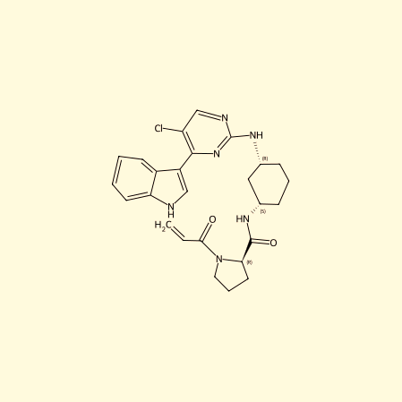 C=CC(=O)N1CCC[C@@H]1C(=O)N[C@H]1CCC[C@@H](Nc2ncc(Cl)c(-c3c[nH]c4ccccc34)n2)C1